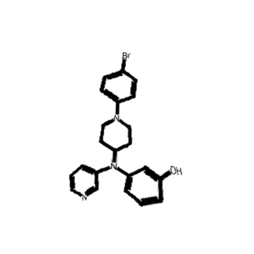 Oc1cccc(N(c2cccnc2)C2CCN(c3ccc(Br)cc3)CC2)c1